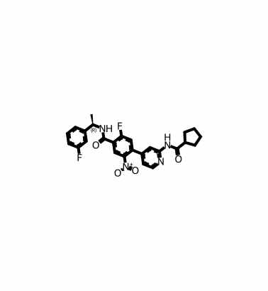 C[C@@H](NC(=O)c1cc([N+](=O)[O-])c(-c2ccnc(NC(=O)C3CCCC3)c2)cc1F)c1cccc(F)c1